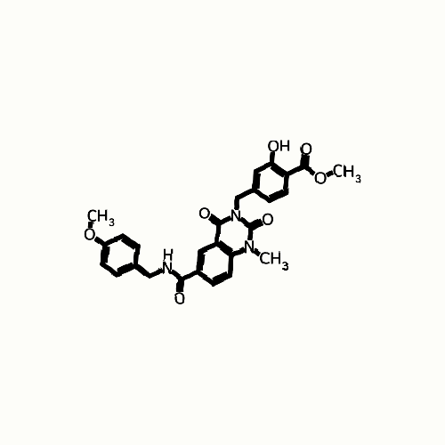 COC(=O)c1ccc(Cn2c(=O)c3cc(C(=O)NCc4ccc(OC)cc4)ccc3n(C)c2=O)cc1O